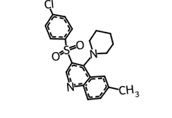 Cc1ccc2ncc(S(=O)(=O)c3ccc(Cl)cc3)c(N3CCCCC3)c2c1